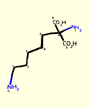 NCCCCCC(N)(C(=O)O)C(=O)O